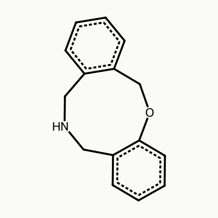 c1ccc2c(c1)CNCc1ccccc1OC2